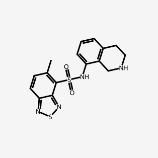 Cc1ccc2nsnc2c1S(=O)(=O)Nc1cccc2c1CNCC2